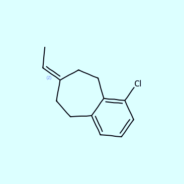 C/C=C1/CCc2cccc(Cl)c2CC1